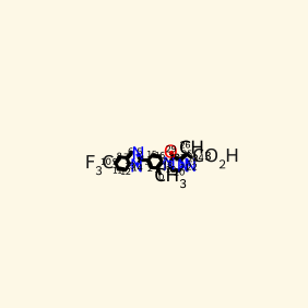 Cc1cc(-c2ncc3cc(C(F)(F)F)ccc3n2)ccc1N1CCn2nc(C(=O)O)c(C)c2C1=O